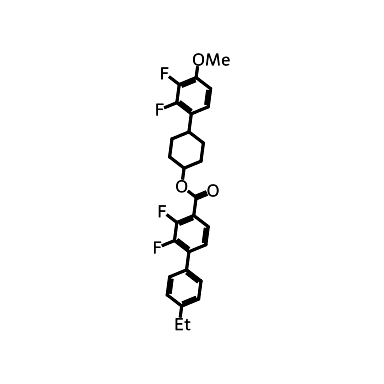 CCc1ccc(-c2ccc(C(=O)OC3CCC(c4ccc(OC)c(F)c4F)CC3)c(F)c2F)cc1